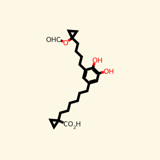 O=COC1(CCCCc2cc(CCCCCCC3(C(=O)O)CC3)cc(O)c2O)CC1